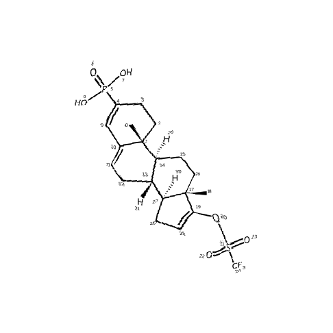 C[C@]12CCC(P(=O)(O)O)=CC1=CC[C@@H]1[C@@H]2CC[C@]2(C)C(OS(=O)(=O)C(F)(F)F)=CC[C@@H]12